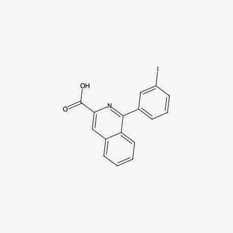 O=C(O)c1cc2ccccc2c(-c2cccc(I)c2)n1